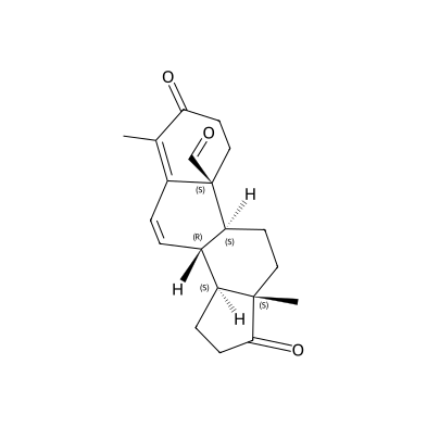 CC1=C2C=C[C@@H]3[C@H](CC[C@]4(C)C(=O)CC[C@@H]34)[C@@]2(C=O)CCC1=O